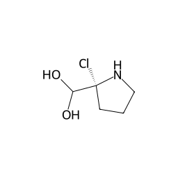 OC(O)[C@]1(Cl)CCCN1